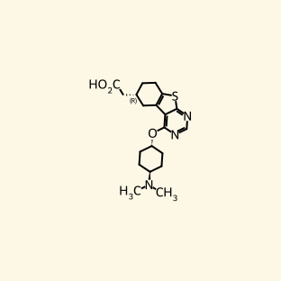 CN(C)[C@H]1CC[C@H](Oc2ncnc3sc4c(c23)C[C@H](CC(=O)O)CC4)CC1